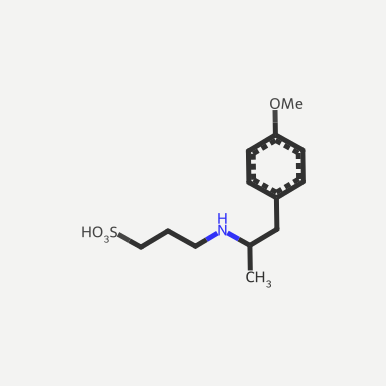 COc1ccc(CC(C)NCCCS(=O)(=O)O)cc1